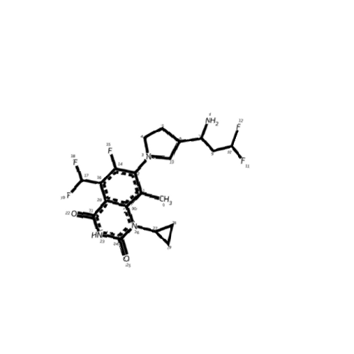 Cc1c(N2CCC(C(N)CC(F)F)C2)c(F)c(C(F)F)c2c(=O)[nH]c(=O)n(C3CC3)c12